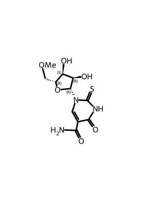 COC[C@H]1O[C@@H](n2cc(C(N)=O)c(=O)[nH]c2=S)[C@H](O)[C@@H]1O